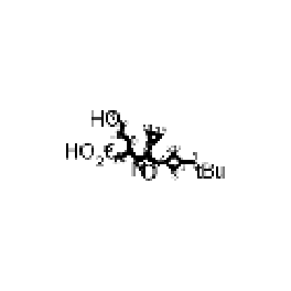 CC(C)(C)CC1CC(c2onc(C(CCCO)CC(=O)O)c2C2CC2)C1